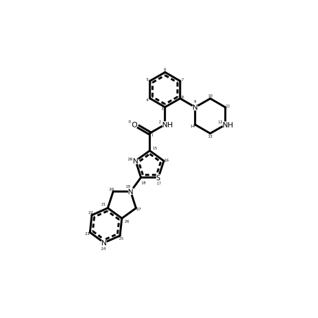 O=C(Nc1ccccc1N1CCNCC1)c1csc(N2Cc3ccncc3C2)n1